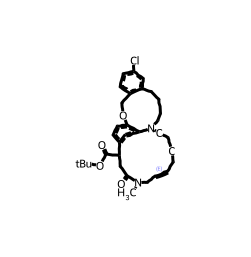 CN1C/C=C/CCCCN2CCCCc3cc(Cl)ccc3COc3ccc(cc32)C(C(=O)OC(C)(C)C)CC1=O